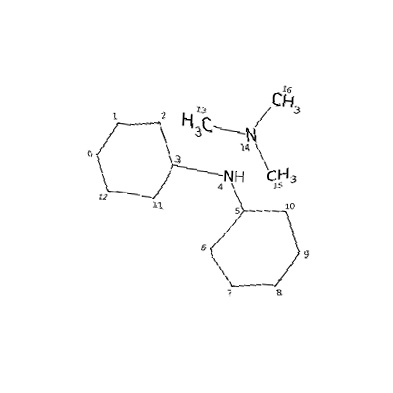 C1CCC(NC2CCCCC2)CC1.CN(C)C